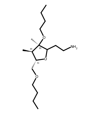 CCCCOC[C@H]1OC(CCN)[C@](C)(OCCCC)[C@@H]1C